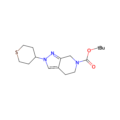 CC(C)(C)OC(=O)N1CCc2cn(C3CCSCC3)nc2C1